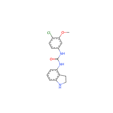 COc1cc(NC(=O)Nc2cccc3c2CCN3)ccc1Cl